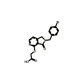 O=C(O)COc1nccc2c1C(=O)N(Cc1ccc(Br)cc1)C2